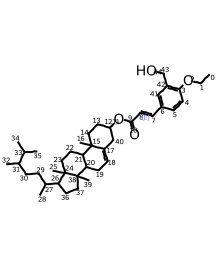 CCOc1ccc(/C=C/C(=O)OC2CCC3(C)C(=CCC4C3CCC3(C)C(C(C)CCC(C)C(C)C)CCC43C)C2)cc1CO